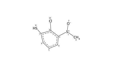 C[S+]([O-])c1cccc(S)c1Cl